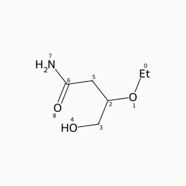 CCOC(CO)CC(N)=O